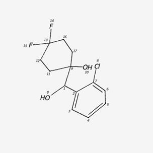 OC(c1ccccc1Cl)C1(O)CCC(F)(F)CC1